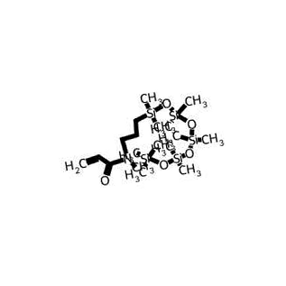 C=CC(=O)N(C)CCC[Si](C)(C)O[Si](C)(C)O[Si](C)(C)O[Si](C)(C)O[Si](C)(C)C